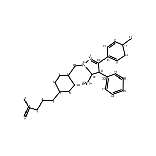 C=C(C)CCCC1CCC(CN2N=C(C3=CCC(C)C=C3)C(c3ccccc3)C2CCC)CC1